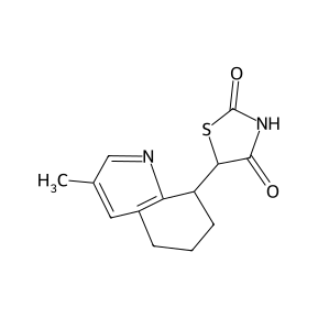 Cc1cnc2c(c1)CCCC2C1SC(=O)NC1=O